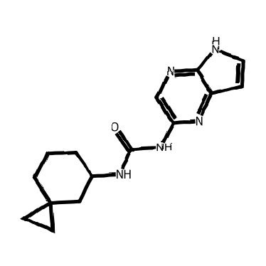 O=C(Nc1cnc2[nH]ccc2n1)NC1CCCC2(CC2)C1